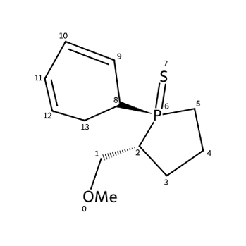 COC[C@H]1CCC[P@]1(=S)C1C=CC=CC1